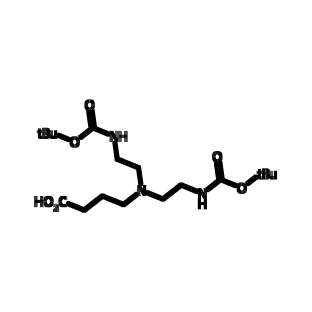 CC(C)(C)OC(=O)NCCN(CCCC(=O)O)CCNC(=O)OC(C)(C)C